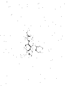 CCn1ncc2c(NC3CCOCC3)c(-c3nc(CC(C)=O)no3)cnc21